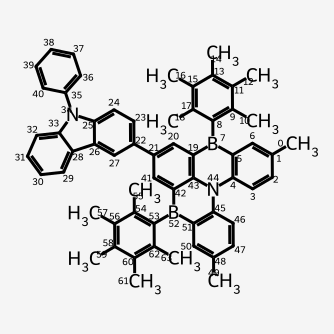 Cc1ccc2c(c1)B(c1c(C)c(C)c(C)c(C)c1C)c1cc(-c3ccc4c(c3)c3ccccc3n4-c3ccccc3)cc3c1N2c1ccc(C)cc1B3c1c(C)c(C)c(C)c(C)c1C